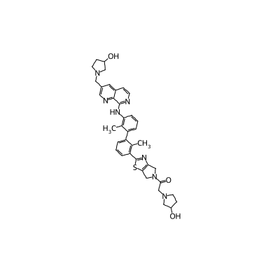 Cc1c(Nc2nccc3cc(CN4CCC(O)C4)cnc23)cccc1-c1cccc(-c2nc3c(s2)CN(C(=O)CN2CCC(O)C2)C3)c1C